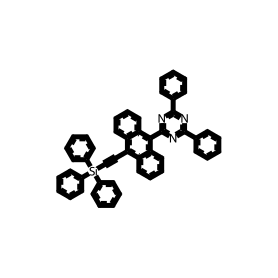 C(#C[Si](c1ccccc1)(c1ccccc1)c1ccccc1)c1c2ccccc2c(-c2nc(-c3ccccc3)nc(-c3ccccc3)n2)c2ccccc12